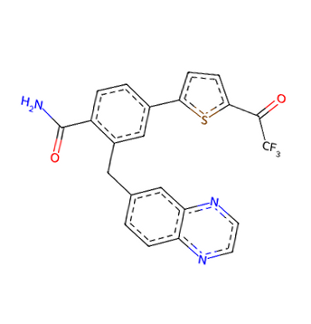 NC(=O)c1ccc(-c2ccc(C(=O)C(F)(F)F)s2)cc1Cc1ccc2nccnc2c1